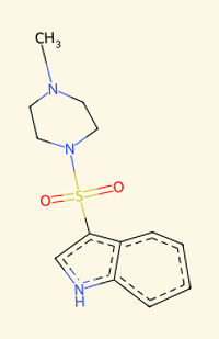 CN1CCN(S(=O)(=O)c2c[nH]c3ccccc23)CC1